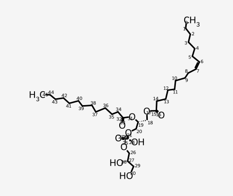 CCCCCC/C=C\CCCCCCCC(=O)OC[C@H](COP(=O)(O)OC[C@@H](O)CO)OC(=O)CCCCCCCCCCCC